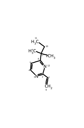 C=Cc1nccc(C(C)(C)CC)n1